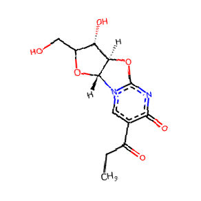 CCC(=O)c1cn2c(nc1=O)O[C@H]1[C@H]2OC(CO)[C@@H]1O